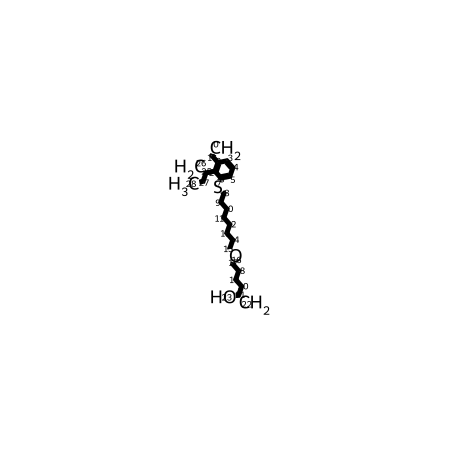 C=Cc1cccc(SCCCCCCCCOCCCCC(=C)O)c1C(=C)CC